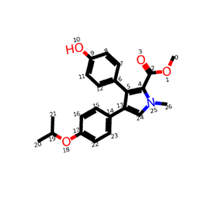 COC(=O)c1c(-c2ccc(O)cc2)c(-c2ccc(OC(C)C)cc2)cn1C